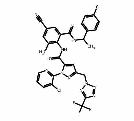 Cc1cc(C#N)cc(C(=O)NC(C)c2ccc(Cl)cc2)c1NC(=O)c1cc(Cn2nnc(C(F)(F)F)n2)nn1-c1ncccc1Cl